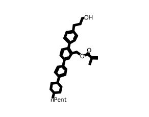 C=C(C)C(=O)OCc1cc(-c2ccc(C3CCC(CCCCC)CC3)cc2)ccc1-c1ccc(CCCO)cc1